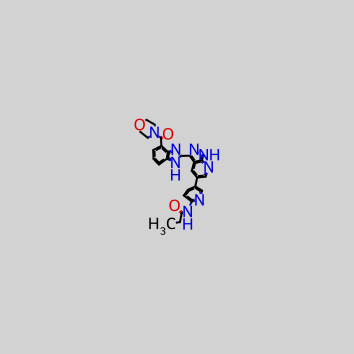 CCC(=O)Nc1ccc(-c2cnc3[nH]nc(-c4nc5c(C(=O)N6CCOCC6)cccc5[nH]4)c3c2)cn1